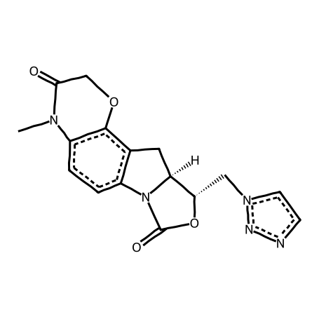 CN1C(=O)COc2c1ccc1c2C[C@H]2[C@H](Cn3ccnn3)OC(=O)N12